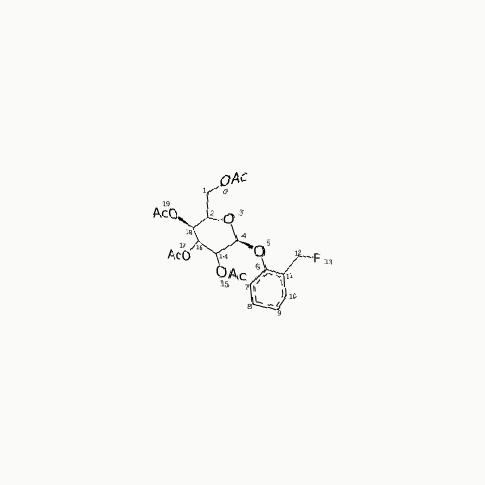 CC(=O)OCC1O[C@@H](Oc2ccccc2CF)C(OC(C)=O)C(OC(C)=O)[C@H]1OC(C)=O